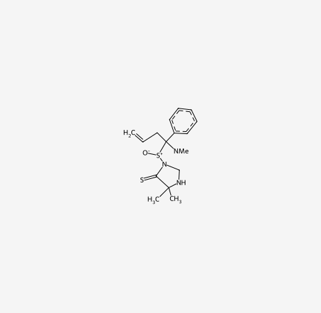 C=CCC(NC)(c1ccccc1)[S+]([O-])N1CNC(C)(C)C1=S